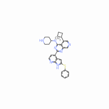 CN(c1nc(-c2ccnc3[nH]c(Sc4ccccc4)cc23)nc2cncc(C3CCC3)c12)C1CCNCC1